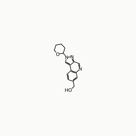 OCc1ccc2c(c1)ncc1nn(C3CCCCO3)cc12